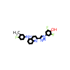 Cc1cc(Nc2cccc3nc(-c4cn(-c5cc(F)c(O)c(F)c5)nn4)ccc23)ccc1F